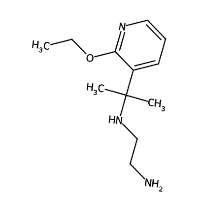 CCOc1ncccc1C(C)(C)NCCN